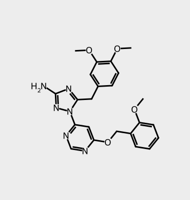 COc1ccccc1COc1cc(-n2nc(N)nc2Cc2ccc(OC)c(OC)c2)ncn1